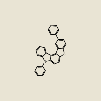 c1ccc(-c2ccc3sc4ccc5c(c6ccccc6n5-c5ccccc5)c4c3c2)cc1